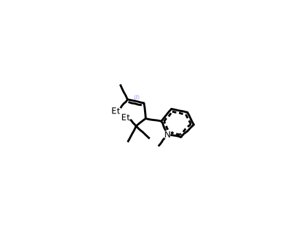 CC/C(C)=C\C(c1cccc[n+]1C)C(C)(C)CC